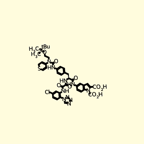 CC(C)(C)[Si](C)(C)OCCN(C(=O)Nc1ccc(C[C@H](NC(=O)C(=O)Nc2cc(Cl)ccc2-n2cnnn2)C(=O)Nc2ccc3c(c2)cc(C(=O)O)n3C(=O)O)cc1)C1=CCSC=C1